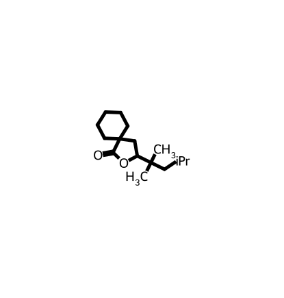 CC(C)CC(C)(C)C1CC2(CCCCC2)C(=O)O1